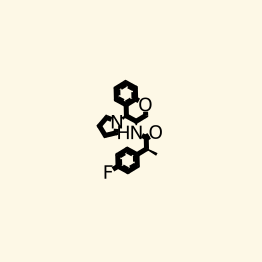 C[C@H](C(=O)N[C@H]1COc2ccccc2[C@@H]1N1CCCC1)c1ccc(F)cc1